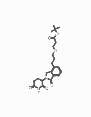 CC(C)(C)OC(=O)CCOCCCc1cccc2c1CN(C1CCC(=O)NC1=O)C2=O